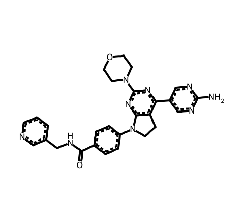 Nc1ncc(-c2nc(N3CCOCC3)nc3c2CCN3c2ccc(C(=O)NCc3cccnc3)cc2)cn1